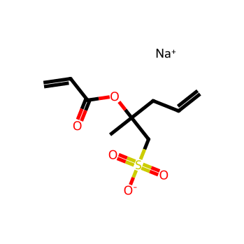 C=CCC(C)(CS(=O)(=O)[O-])OC(=O)C=C.[Na+]